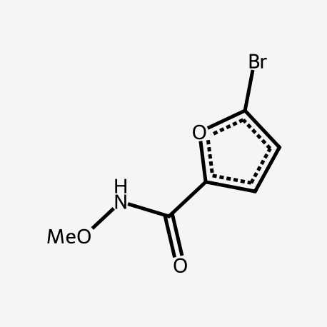 CONC(=O)c1ccc(Br)o1